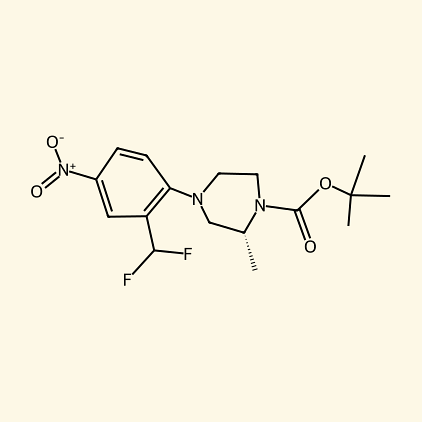 C[C@@H]1CN(c2ccc([N+](=O)[O-])cc2C(F)F)CCN1C(=O)OC(C)(C)C